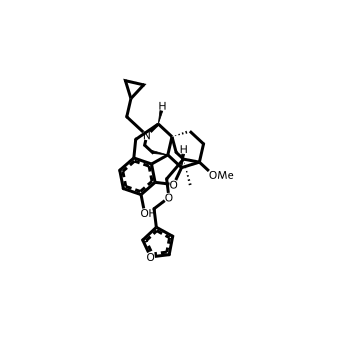 COC12CC[C@@]3(C[C@]1(C)COCc1ccoc1)[C@H]1Cc4ccc(O)c5c4[C@@]3(CCN1CC1CC1)[C@H]2O5